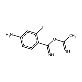 CC(=N)OC(=N)c1ccc(N)cc1F